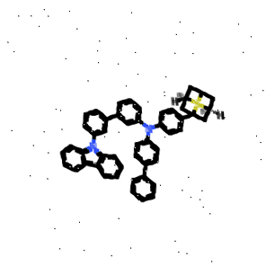 c1ccc(-c2ccc(N(c3ccc(C45C[C@@H]6CC7C[C@@H](C4)S765)cc3)c3cccc(-c4cccc(-n5c6ccccc6c6ccccc65)c4)c3)cc2)cc1